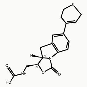 O=C(O)NC[C@@H]1OC(=O)N2c3ccc(C4=CCSCC4)cc3C[C@@H]12